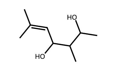 CC(C)=CC(O)C(C)C(C)O